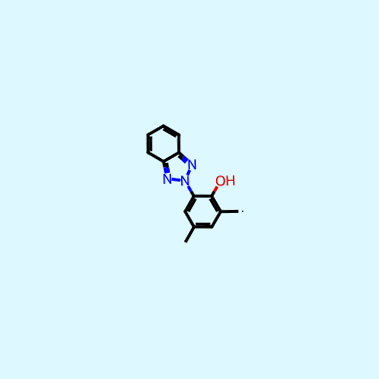 [CH2]c1cc(C)cc(-n2nc3ccccc3n2)c1O